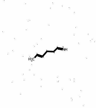 CC=CCCC=N